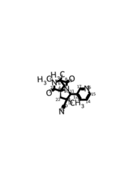 CN1C(=O)[C@]23CC1(C)C(=O)N2C(c1cccnc1)[C@@](C)(C#N)C3